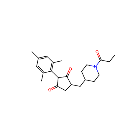 CCC(=O)N1CCC(CC2CC(=O)C(c3c(C)cc(C)cc3C)C2=O)CC1